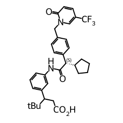 CC(C)(C)C(CC(=O)O)c1cccc(NC(=O)[C@H](c2ccc(Cn3cc(C(F)(F)F)ccc3=O)cc2)C2CCCC2)c1